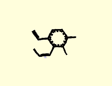 C=Cc1ccc(C)c(C)c1/C=C\C